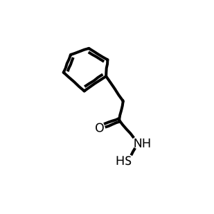 O=C(Cc1ccccc1)NS